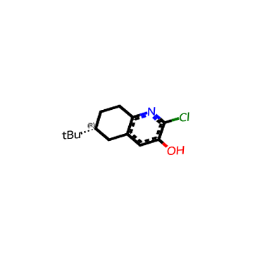 CC(C)(C)[C@@H]1CCc2nc(Cl)c(O)cc2C1